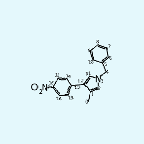 Cc1cn(Cc2ccccc2)cc1-c1ccc([N+](=O)[O-])cc1